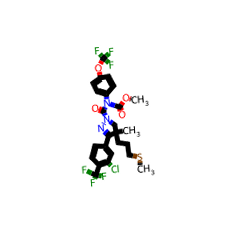 COC(=O)N(C(=O)N1CC(C)(CCCSC)C(c2ccc(C(F)(F)F)c(Cl)c2)=N1)c1ccc(OC(F)(F)F)cc1